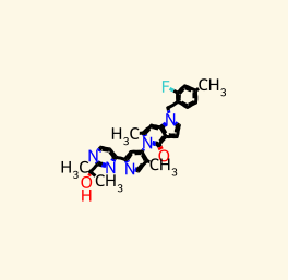 Cc1ccc(Cn2ccc3c(=O)n(-c4cc(-c5ccnc(C(C)(C)O)n5)ncc4C)c(C)cc32)c(F)c1